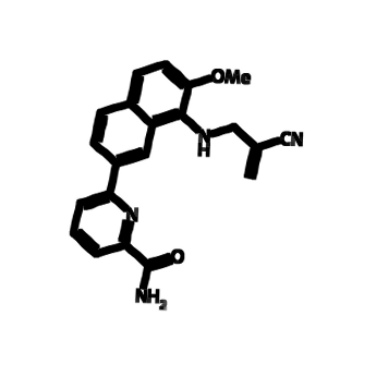 C=C(C#N)CNc1c(OC)ccc2ccc(-c3cccc(C(N)=O)n3)cc12